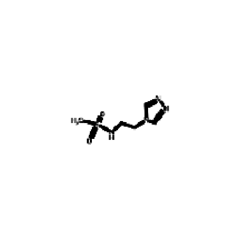 CS(=O)(=O)NCCn1[c]nnc1